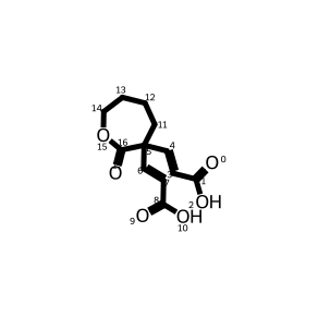 O=C(O)C=CC1(C=CC(=O)O)CCCCOC1=O